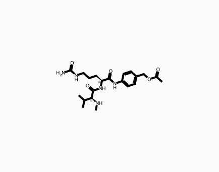 CN[C@H](C(=O)N[C@@H](CCCNC(N)=O)C(=O)Nc1ccc(COC(C)=O)cc1)C(C)C